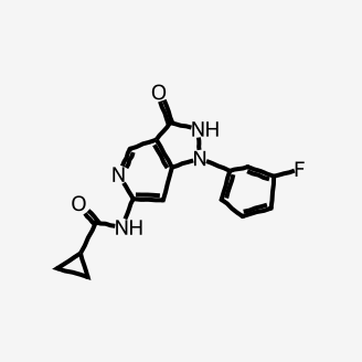 O=C(Nc1cc2c(cn1)c(=O)[nH]n2-c1cccc(F)c1)C1CC1